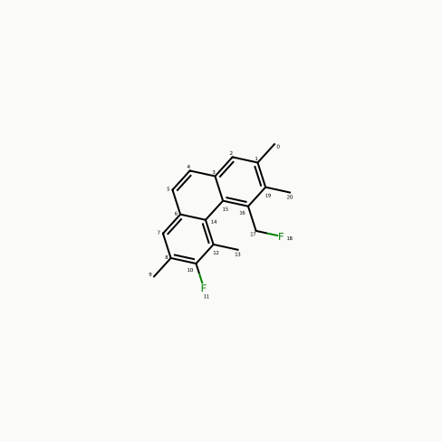 Cc1cc2ccc3cc(C)c(F)c(C)c3c2c(CF)c1C